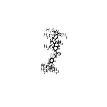 COC(=O)C(=Cc1sc(C)nc1C)NC(=O)c1c(C)cc(C(=O)NCc2cccc(O[Si](C)(C)C(C)(C)C)c2)cc1C